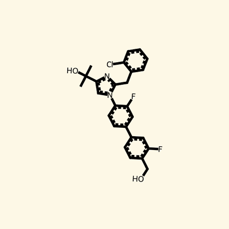 CC(C)(O)c1cn(-c2ccc(-c3ccc(CO)c(F)c3)cc2F)c(Cc2ccccc2Cl)n1